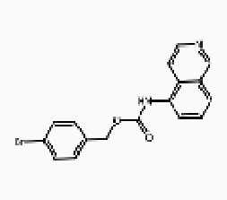 O=C(Nc1cccc2cnccc12)OCc1ccc(Br)cc1